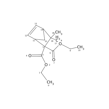 CCOC(=O)C1(C(=O)OCC)C2C=CC(C2)C1(C)C